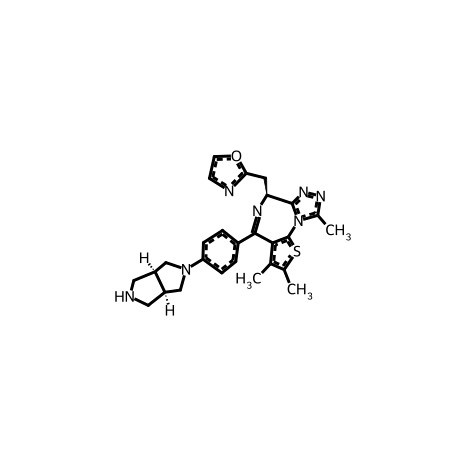 Cc1sc2c(c1C)C(c1ccc(N3C[C@H]4CNC[C@H]4C3)cc1)=N[C@@H](Cc1ncco1)c1nnc(C)n1-2